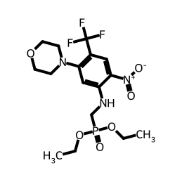 CCOP(=O)(CNc1cc(N2CCOCC2)c(C(F)(F)F)cc1[N+](=O)[O-])OCC